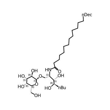 CCCCCCCCCCCCCCCCCCCCCCC(=O)N[C@@H](CO[C@H]1O[C@H](CO)[C@H](O)[C@H](O)[C@H]1O)[C@H](O)[C@H](O)CCCC